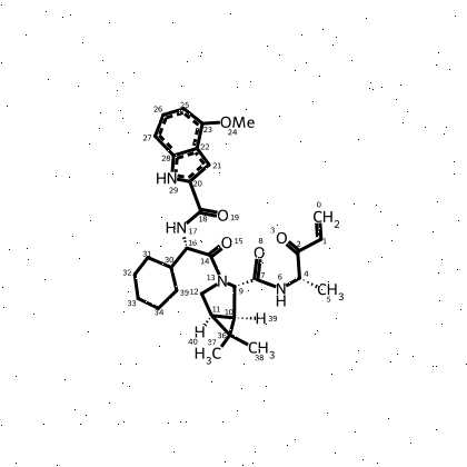 C=CC(=O)[C@H](C)NC(=O)[C@@H]1[C@@H]2[C@H](CN1C(=O)[C@@H](NC(=O)c1cc3c(OC)cccc3[nH]1)C1CCCCC1)C2(C)C